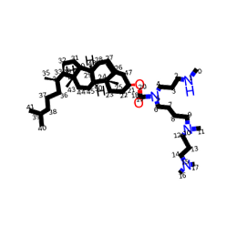 CNCCCN(CCCCN(C)CCCN(C)C)C(=O)O[C@H]1CC[C@@]2(C)C(=CC[C@H]3[C@@H]4CC[C@H]([C@H](C)CCCC(C)C)[C@@]4(C)CC[C@@H]32)C1